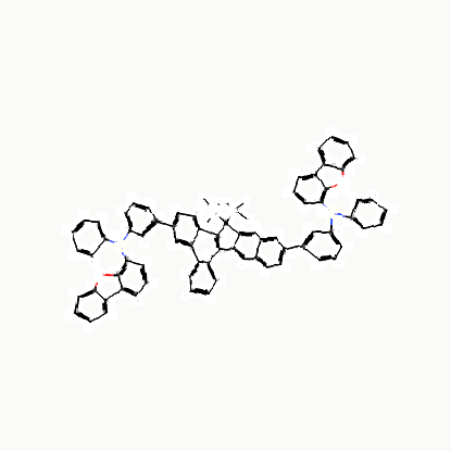 C[Si](C)(C)C1([Si](C)(C)C)c2cc3cc(-c4cccc(N(c5ccccc5)c5cccc6c5oc5ccccc56)c4)ccc3cc2-c2c1c1ccc(-c3cccc(N(c4ccccc4)c4cccc5c4oc4ccccc45)c3)cc1c1ccccc21